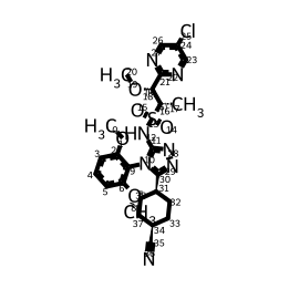 COc1cccc(OC)c1-n1c(NS(=O)(=O)[C@@H](C)[C@H](OC)c2ncc(Cl)cn2)nnc1[C@H]1CC[C@@H](C#N)CC1